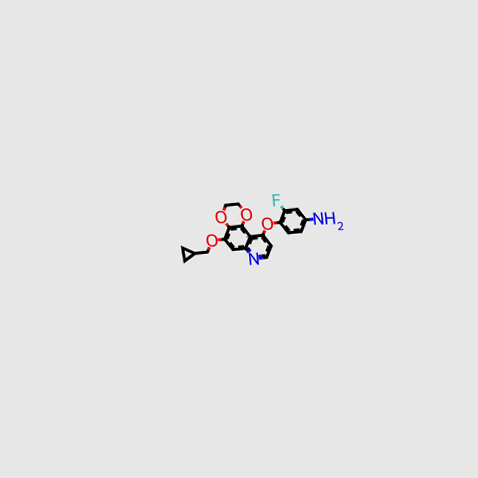 Nc1ccc(Oc2ccnc3cc(OCC4CC4)c4c(c23)OCCO4)c(F)c1